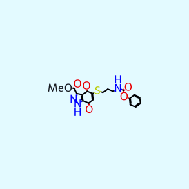 COC(=O)c1n[nH]c2c1C(=O)C(SCCCNC(=O)Oc1ccccc1)=CC2=O